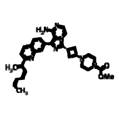 C=C(/C=C\C=C/C)c1ccc2ccc(-c3nc([C@H]4C[C@@H](N5CCN(C(=O)OC)CC5)C4)n4ccnc(N)c34)cc2n1